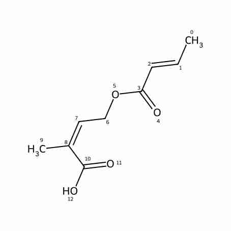 CC=CC(=O)OCC=C(C)C(=O)O